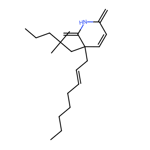 C=C1C=CC(C/C=C/CCCCC)(CC(C)(C)CCC)C(=C)N1